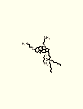 CCCCCCN(CCCCCC)C(=O)CC[C@@H](C)C1CC[C@H]2C3[C@H](OCCCN)CC4C[C@H](OCCCN)CC[C@]4(C)[C@H]3C[C@H](OCCCN)[C@]12C